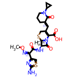 CO/N=C(\C(=O)N[C@@H]1C(=O)N2C(C(=O)O)=C(/C=C3\CCCN(C4CC4)C3=O)CS[C@H]12)c1csc(N)n1